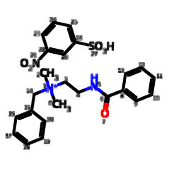 C[N+](C)(CCNC(=O)c1ccccc1)Cc1ccccc1.O=[N+]([O-])c1cccc(S(=O)(=O)O)c1